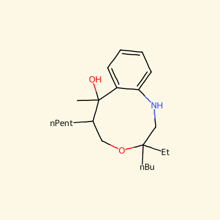 CCCCCC1COC(CC)(CCCC)CNc2ccccc2C1(C)O